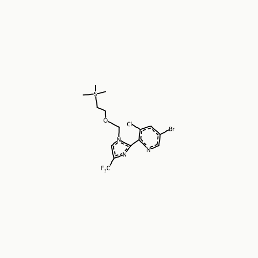 CS(C)(C)CCOCn1cc(C(F)(F)F)nc1-c1ncc(Br)cc1Cl